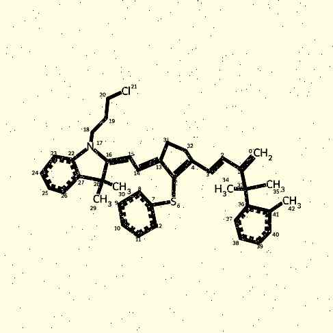 C=C(/C=C/C1=C(Sc2ccccc2)C(=C/C=C2/N(CCCCl)c3ccccc3C2(C)C)/CC1)C(C)(C)c1ccccc1C